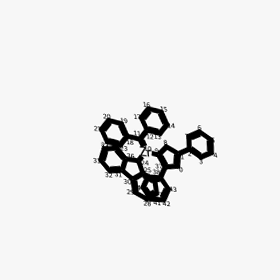 C1=C(c2ccccc2)C[C]([Zr](=[C](c2ccccc2)c2ccccc2)[CH]2c3ccccc3-c3ccccc32)=C1c1ccccc1